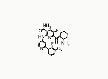 COc1cccc(-c2cc(Nc3nc(N[C@@H]4CCCCC4N)c(F)cc3C(N)=O)ccn2)c1F